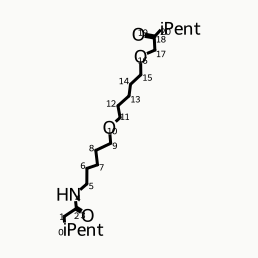 CCCC(C)CC(=O)NCCCCCOCCCCCOCC(=O)C(C)CCC